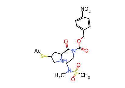 CC(=O)S[C@@H]1CN[C@H](C(=O)N(CCN(C)S(C)(=O)=O)C(=O)OCc2ccc([N+](=O)[O-])cc2)C1